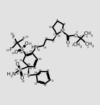 CC(C)(C)OC(=O)N1CCC[C@@H]1CCCNC1=C(S(=O)(=O)C(F)(F)F)C[C@@](Sc2ccccc2)(S(N)(=O)=O)C=C1